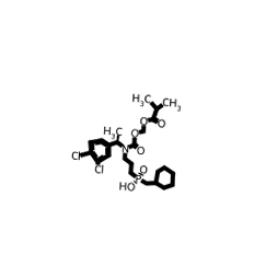 CC(C)C(=O)OCOC(=O)N(CCCP(=O)(O)CC1CCCCC1)[C@H](C)c1ccc(Cl)c(Cl)c1